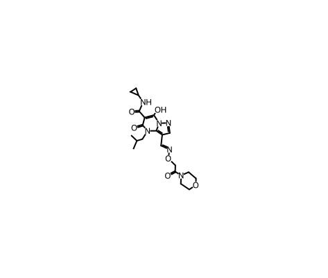 CC(C)Cn1c(=O)c(C(=O)NC2CC2)c(O)n2ncc(C=NOCC(=O)N3CCOCC3)c12